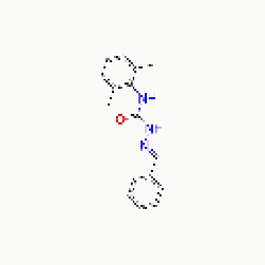 Cc1cccc(C)c1NC(=O)NN=Cc1ccccc1